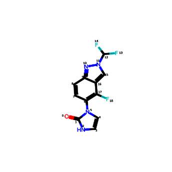 O=c1[nH]ccn1-c1ccc2nn(C(F)F)cc2c1F